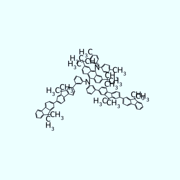 Cc1ccc(N(c2ccc(C)cc2)c2c3cc(C(C)(C)C)ccc3c(N(c3cccc(-c4ccc5c(c4)C(C)(C)c4cc(-c6ccc7c(c6)C(C)(C)c6ccccc6-7)ccc4-5)c3)c3cccc(-c4ccc5c(c4)C(C)(C)c4cc(-c6ccc7c(c6)C(C)(C)c6ccccc6-7)ccc4-5)c3)c3ccc(C(C)(C)C)cc23)cc1